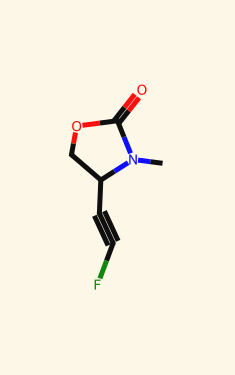 CN1C(=O)OCC1C#CF